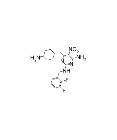 Nc1nc(NCc2cccc(F)c2F)nc(C[C@H]2CC[C@H](N)CC2)c1[N+](=O)[O-]